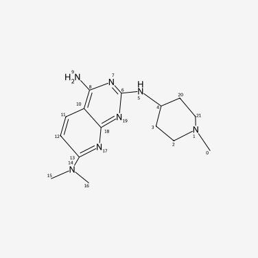 CN1CCC(Nc2nc(N)c3ccc(N(C)C)nc3n2)CC1